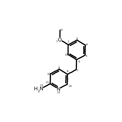 COc1cccc(Cc2ccc(N)nc2)c1